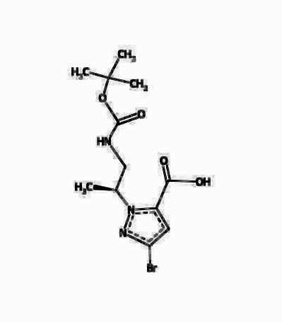 C[C@@H](CNC(=O)OC(C)(C)C)n1nc(Br)cc1C(=O)O